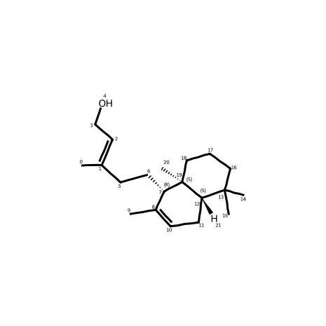 CC(=CCO)CC[C@H]1C(C)=CC[C@H]2C(C)(C)CCC[C@]12C